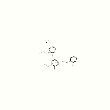 CCCCCCCCCCCCc1cccc[c]1[Zn+].CCCCCCCCCCCCc1cccc[c]1[Zn+].CCCCCCCCCCCCc1cccc[c]1[Zn+].O=P([O-])([O-])[O-]